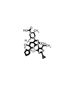 Cc1nc(C2CC2)nc(C(C)C)c1-n1c(=O)nc(N2C[C@@H](C)N(C(=O)O)C[C@@H]2C)c2cc(Cl)c(-c3ccccc3F)nc21